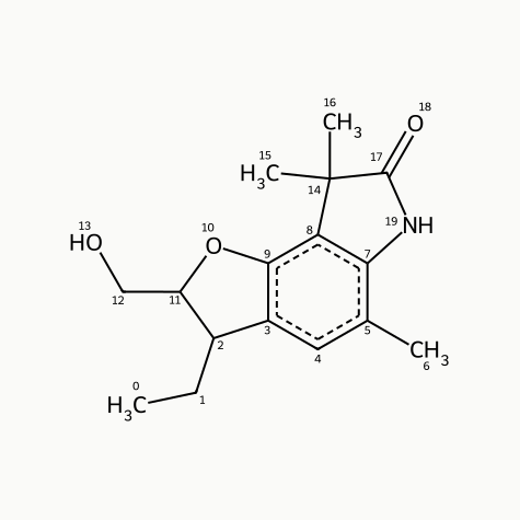 CCC1c2cc(C)c3c(c2OC1CO)C(C)(C)C(=O)N3